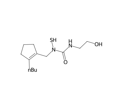 CCCCC1=C(CN(S)C(=O)NCCO)CCC1